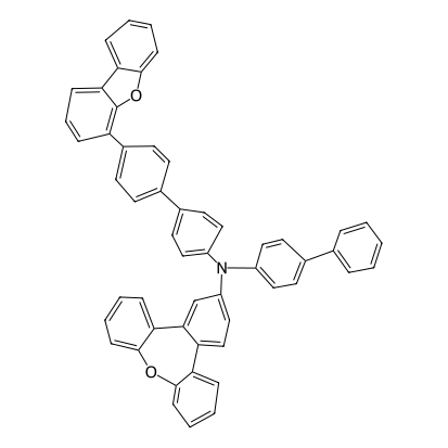 c1ccc(-c2ccc(N(c3ccc(-c4ccc(-c5cccc6c5oc5ccccc56)cc4)cc3)c3ccc4c(c3)-c3ccccc3Oc3ccccc3-4)cc2)cc1